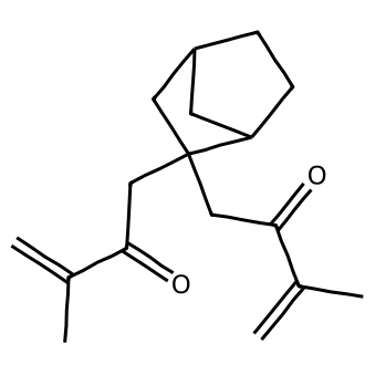 C=C(C)C(=O)CC1(CC(=O)C(=C)C)CC2CCC1C2